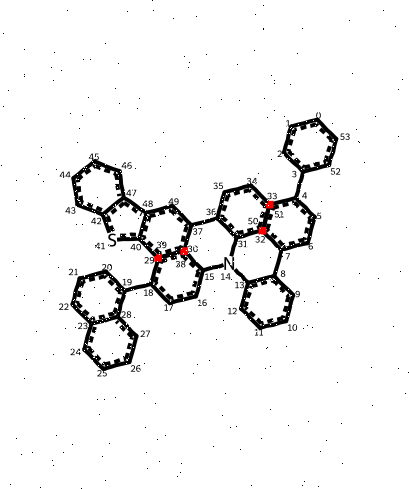 c1ccc(-c2ccc(-c3ccccc3N(c3ccc(-c4cccc5ccccc45)cc3)c3ccccc3-c3ccc4sc5ccccc5c4c3)cc2)cc1